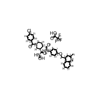 Cc1cc(COc2ccc(NC(=O)[C@H]3CCN(C(=O)c4ccc(Cl)cc4)C[C@@H]3C(=O)NO)cc2)c2ccccc2n1.O=C(O)C(F)(F)F